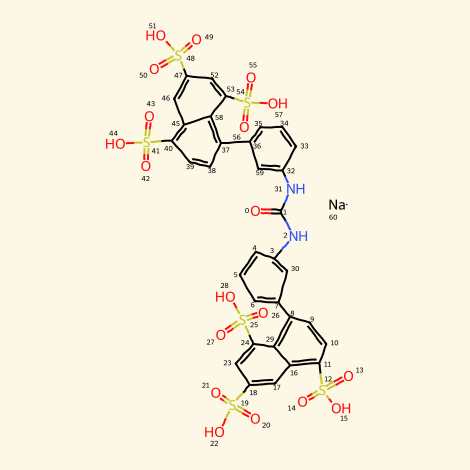 O=C(Nc1cccc(-c2ccc(S(=O)(=O)O)c3cc(S(=O)(=O)O)cc(S(=O)(=O)O)c23)c1)Nc1cccc(-c2ccc(S(=O)(=O)O)c3cc(S(=O)(=O)O)cc(S(=O)(=O)O)c23)c1.[Na]